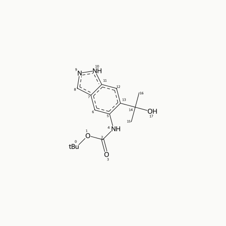 CC(C)(C)OC(=O)Nc1cc2cn[nH]c2cc1C(C)(C)O